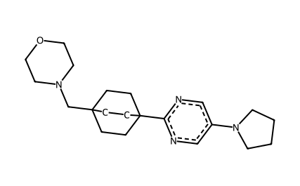 c1nc(C23CCC(CN4CCOCC4)(CC2)CC3)ncc1N1CCCC1